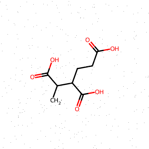 [CH2]C(C(=O)O)C(CCC(=O)O)C(=O)O